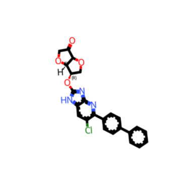 O=C1CO[C@H]2C1OC[C@H]2Oc1nc2nc(-c3ccc(-c4ccccc4)cc3)c(Cl)cc2[nH]1